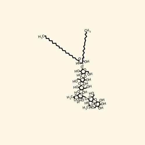 CCCCCCCCCCCCC/C=C/[C@@H](O)[C@H](CO[C@@H]1OC(CO)[C@@H](O[C@@H]2OC(CO)[C@H](O[C@@H]3OC(CO)[C@H](O)[C@H](O[C@@H]4OC(CO[C@@H]5OC(CO)[C@@H](O[C@@H]6OC(CO)[C@H](O)[C@H](O)C6O)[C@H](O)C5NC(C)=O)[C@H](O)[C@H](O)C4NC(C)=O)C3O)[C@H](O)C2O)[C@H](O)C1O)NC(=O)CCCCCCCCCCCCCCCCCCCCC